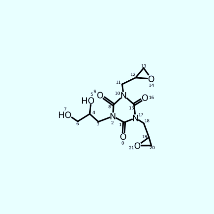 O=c1n(CC(O)CO)c(=O)n(CC2CO2)c(=O)n1CC1CO1